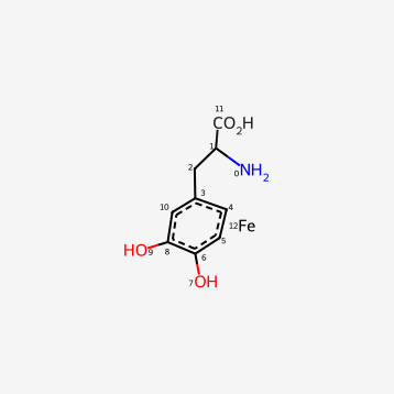 NC(Cc1ccc(O)c(O)c1)C(=O)O.[Fe]